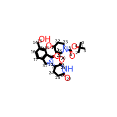 CC(C)(C)OC(=O)N1CCC(Oc2c(CO)ccc3c2C(=O)N(C2CCC(=O)NC2=O)C3)CC1